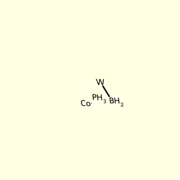 P.[BH2][W].[Co]